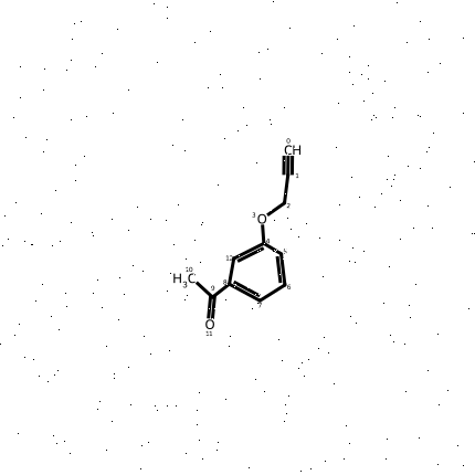 C#CCOc1cccc(C(C)=O)c1